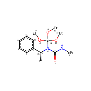 CCCNC(=O)N([C@@H](C)c1ccccc1)[Si](OCC)(OCC)OCC